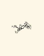 COCCN1CC(C)Oc2cc3c(c(C)c21)CCN(C(=O)OC(C)(C)C)CC3